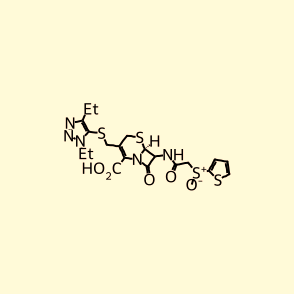 CCc1nnn(CC)c1SCC1=C(C(=O)O)N2C(=O)C(NC(=O)C[S+]([O-])c3cccs3)[C@@H]2SC1